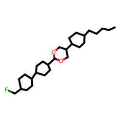 CCCCCC1CCC(C2COC(C3CCC(C4CCC(CF)CC4)CC3)OC2)CC1